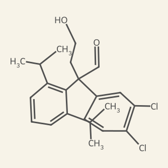 CC(C)c1cccc(C(C)C)c1C(C=O)(CCO)c1ccc(Cl)c(Cl)c1